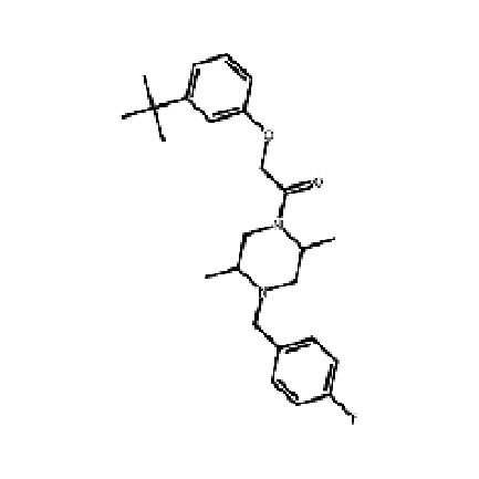 CC1CN(C(=O)COc2cccc(C(C)(C)C)c2)C(C)CN1Cc1ccc(F)cc1